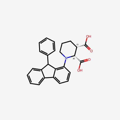 O=C(O)[C@H]1CCCN(c2cccc3c2C(c2ccccc2)c2ccccc2-3)[C@H]1C(=O)O